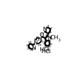 Cl.Cl.Cn1c(-c2cccnc2)c(C(=O)N2CCN(c3ccccn3)CC2)c2ccccc21